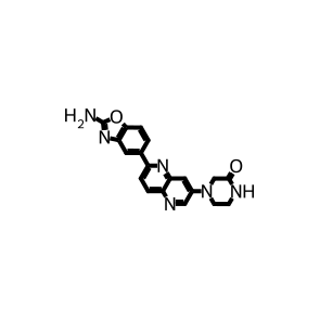 Nc1nc2cc(-c3ccc4ncc(N5CCNC(=O)C5)cc4n3)ccc2o1